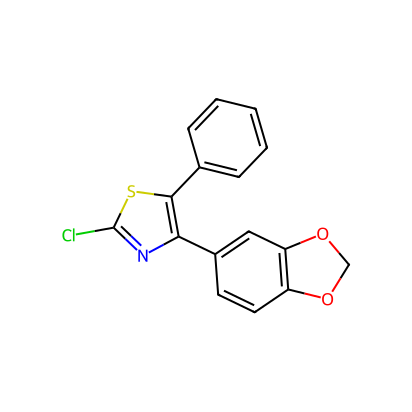 Clc1nc(-c2ccc3c(c2)OCO3)c(-c2ccccc2)s1